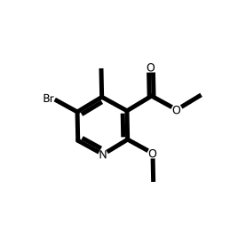 COC(=O)c1c(OC)ncc(Br)c1C